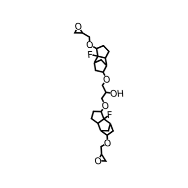 OC(COC1CC2CC1C1CCC(OCC3CO3)C21F)COC1CCC2C3CC(CC3OCC3CO3)C12F